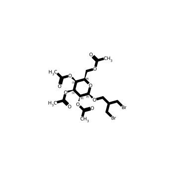 CC(=O)OC[C@H]1O[C@@H](OCC(CBr)CBr)[C@H](OC(C)=O)[C@@H](OC(C)=O)[C@H]1OC(C)=O